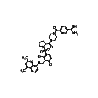 Cc1cc(C)c2cccc(OCc3c(Cl)ccc(S(=O)(=O)N4CCCC4C(=O)N4CCN(C(=O)c5ccc(C(=N)N)cc5)CC4)c3Cl)c2n1